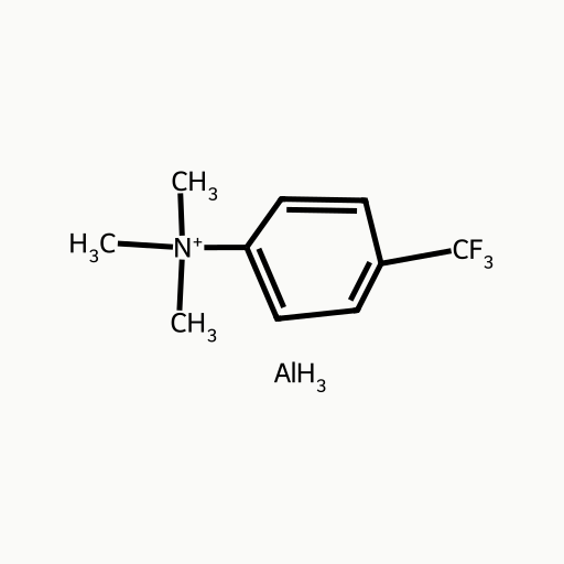 C[N+](C)(C)c1ccc(C(F)(F)F)cc1.[AlH3]